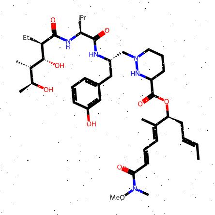 C/C=C/C[C@H](OC(=O)C1CCCN(C[C@H](Cc2cccc(O)c2)NC(=O)[C@@H](NC(=O)[C@H](CC)[C@H](O)[C@@H](C)[C@H](C)O)C(C)C)N1)/C(C)=C/C=C/C(=O)N(C)OC